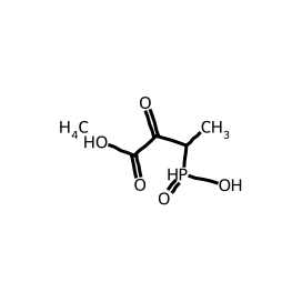 C.CC(C(=O)C(=O)O)[PH](=O)O